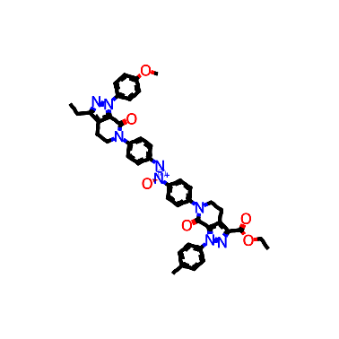 CCOC(=O)c1nn(-c2ccc(C)cc2)c2c1CCN(c1ccc(/[N+]([O-])=N/c3ccc(N4CCc5c(CC)nn(-c6ccc(OC)cc6)c5C4=O)cc3)cc1)C2=O